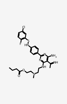 CCCC(=O)OCCN(C)CCNc1nc(-c2ccc(NSc3cc(Cl)ccc3F)cc2)nc(N)c1C(C)=N